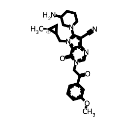 COc1cccc(C(=O)Cn2cnc3c(C#N)c(N4CCCC(N)C4)n(CC4C[C@@H]4C)c3c2=O)c1